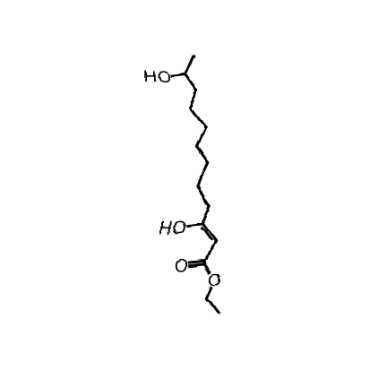 CCOC(=O)C=C(O)CCCCCCCC(C)O